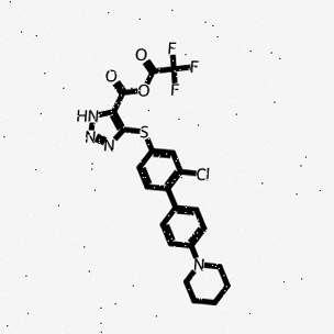 O=C(OC(=O)C(F)(F)F)c1[nH]nnc1Sc1ccc(-c2ccc(N3CCCCC3)cc2)c(Cl)c1